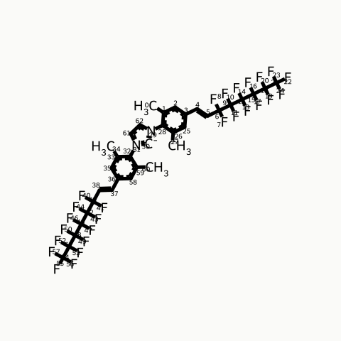 Cc1cc(C=CC(F)(F)C(F)(F)C(F)(F)C(F)(F)C(F)(F)C(F)(F)F)cc(C)c1-n1[c-][n+](-c2c(C)cc(C=CC(F)(F)C(F)(F)C(F)(F)C(F)(F)C(F)(F)C(F)(F)F)cc2C)cc1